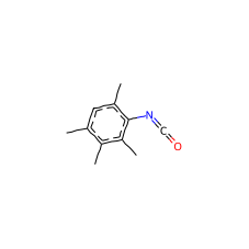 Cc1cc(C)c(N=C=O)c(C)c1C